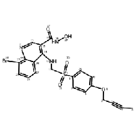 CC#CCOc1ccc(S(=O)(=O)CNc2c(C(=O)NO)cnc3c(Br)cccc23)cc1